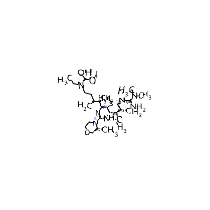 C=C(CCN(CC)C(O)OI)C(=C)C(/N=C(\N)N1CCOC[C@H]1C)=C(/C[C@H](C)[C@@H](C)/C=N\[C@H](N)N(C)C)SC